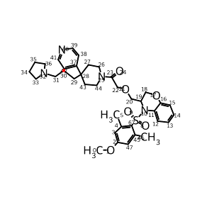 COc1cc(C)c(S(=O)(=O)N2c3ccccc3OCC2COCC(=O)N2CCC(CCCN3CCCC3)(c3ccncc3)CC2)c(C)c1